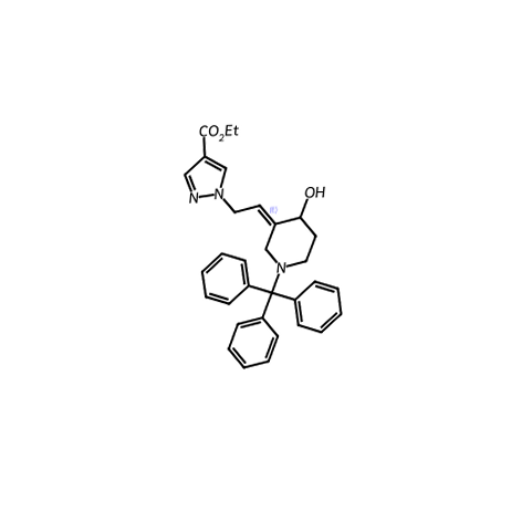 CCOC(=O)c1cnn(C/C=C2\CN(C(c3ccccc3)(c3ccccc3)c3ccccc3)CCC2O)c1